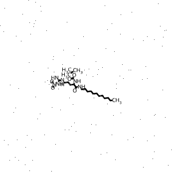 CCCCCCCCCCCCNC(=O)C(CCCNC(=N)N[N+](=O)[O-])NC(=O)OC(C)(C)C